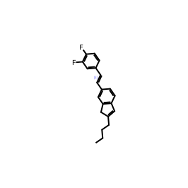 CCCCC1=Cc2ccc(/C=C/c3ccc(F)c(F)c3)cc2C1